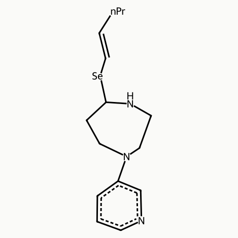 CCCC=C[Se]C1CCN(c2cccnc2)CCN1